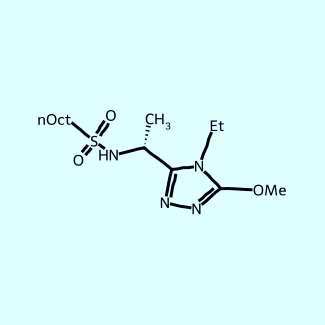 CCCCCCCCS(=O)(=O)N[C@H](C)c1nnc(OC)n1CC